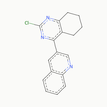 Clc1nc2c(c(-c3cnc4ccccc4c3)n1)CCCC2